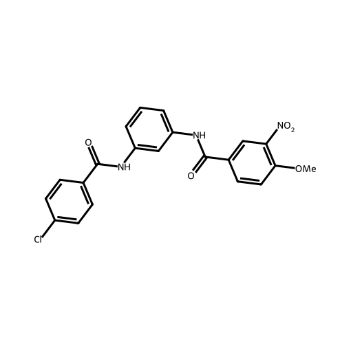 COc1ccc(C(=O)Nc2cccc(NC(=O)c3ccc(Cl)cc3)c2)cc1[N+](=O)[O-]